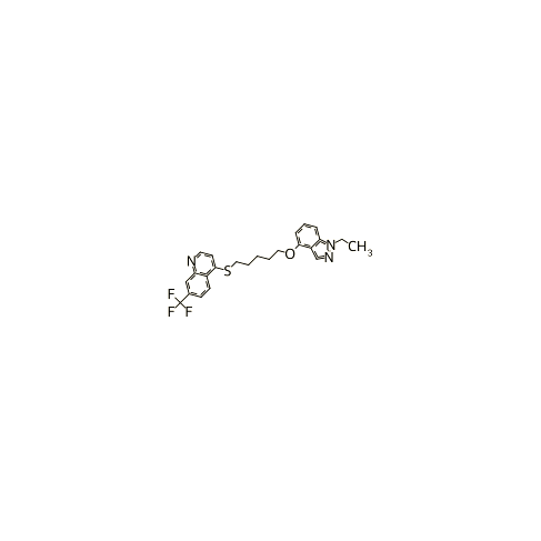 CCn1ncc2c(OCCCCCSc3ccnc4cc(C(F)(F)F)ccc34)cccc21